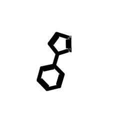 C1=CC(c2ccccc2)N=N1